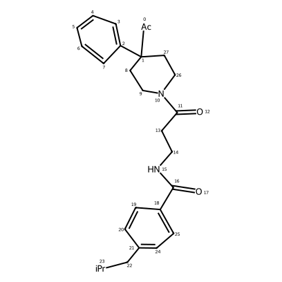 CC(=O)C1(c2ccccc2)CCN(C(=O)CCNC(=O)c2ccc(CC(C)C)cc2)CC1